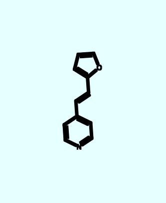 C(=C\c1ccco1)/c1ccncc1